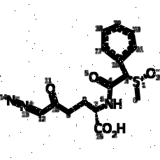 C[S+]([O-])[C@H](C(=O)N[C@@H](CCC(=O)C=[N+]=[N-])C(=O)O)c1ccccc1